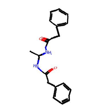 C[C](NC(=O)Cc1ccccc1)NC(=O)Cc1ccccc1